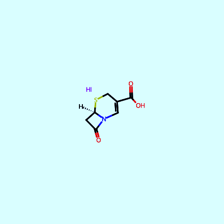 I.O=C(O)C1=CN2C(=O)C[C@H]2SC1